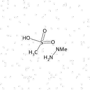 CNN.CS(=O)(=O)O